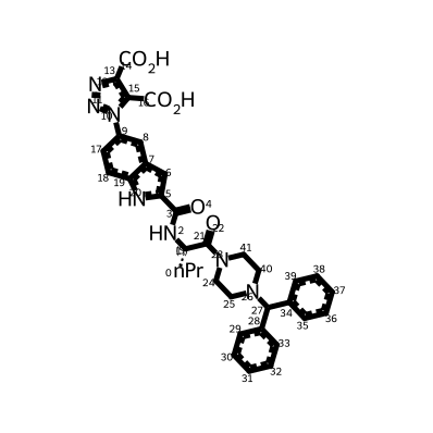 CCC[C@H](NC(=O)c1cc2cc(-n3nnc(C(=O)O)c3C(=O)O)ccc2[nH]1)C(=O)N1CCN(C(c2ccccc2)c2ccccc2)CC1